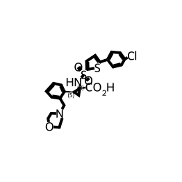 O=C(O)[C@@]1(NS(=O)(=O)c2ccc(-c3ccc(Cl)cc3)s2)C[C@H]1c1ccccc1CN1CCOCC1